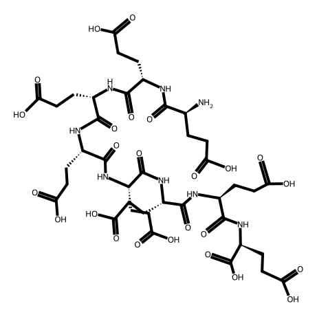 N[C@@H](CCC(=O)O)C(=O)N[C@@H](CCC(=O)O)C(=O)N[C@@H](CCC(=O)O)C(=O)N[C@@H](CCC(=O)O)C(=O)N[C@@H](CCC(=O)O)C(=O)N[C@@H](CCC(=O)O)C(=O)N[C@@H](CCC(=O)O)C(=O)N[C@@H](CCC(=O)O)C(=O)O